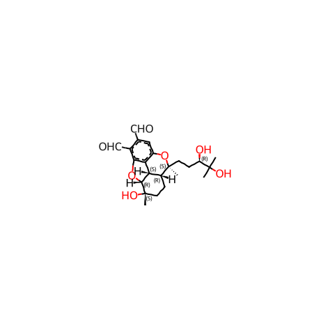 CC(C)(O)[C@H](O)CC[C@]1(C)Oc2cc(C=O)c(C=O)c3c2[C@H]2[C@@H](O3)[C@@](C)(O)CC[C@H]21